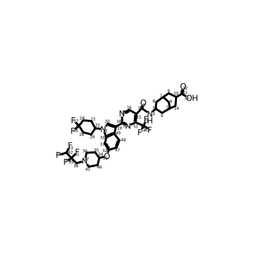 O=C(NC1CC2CC(C1)CC(C(=O)O)C2)c1cnc(-c2cn(C3CCC(F)(F)CC3)c3cc(OC4CCN(CC(F)(F)C(F)F)CC4)ccc23)nc1C(F)(F)F